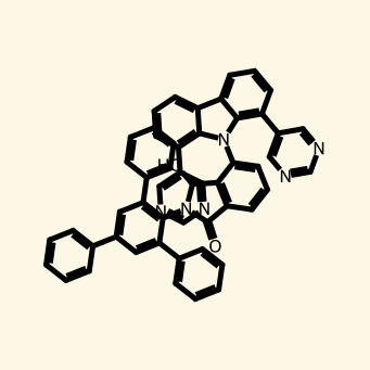 O=C1c2cccc(-n3c4c(-c5cncnc5)cccc4c4cccc(-c5cncnc5)c43)c2C(O)N1c1c(-c2ccccc2)cc(-c2ccccc2)cc1-c1ccccc1